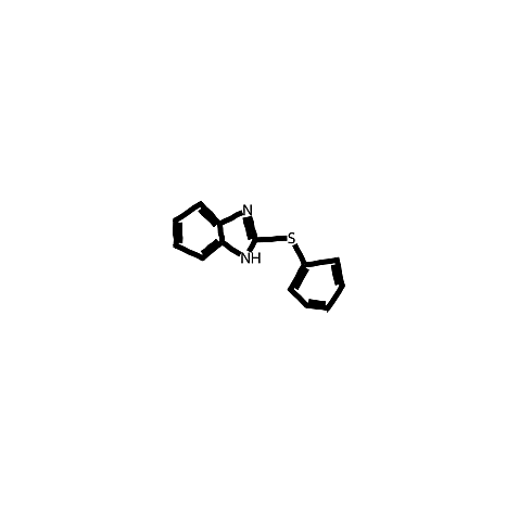 [c]1ccc(Sc2nc3ccccc3[nH]2)cc1